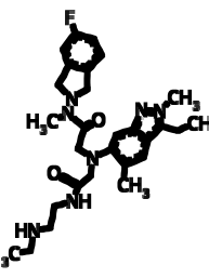 CCNCCNC(=O)CN(CC(=O)N(C)N1Cc2ccc(F)cc2C1)c1cc2nn(C)c(CC)c2cc1C